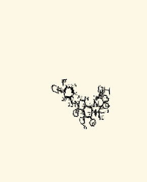 COc1c2c(c3n(c1=O)C(C)(C)C(=O)N3CC(=O)O)CCN(Cc1ccc(F)c(Cl)c1)C2=O